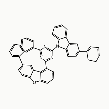 C1=CCCC(c2ccc3c(c2)c2ccccc2n3-c2nc(-c3ccccc3)nc(-c3cccc4oc5ccc(-c6ccccc6)cc5c34)n2)=C1